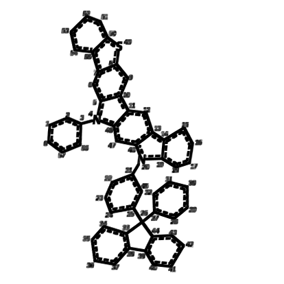 c1ccc(-n2c3cc4c(cc3c3cc5c6ccccc6n(-c6cccc(C7(c8ccccc8)c8ccccc8-c8ccccc87)c6)c5cc32)sc2ccccc24)cc1